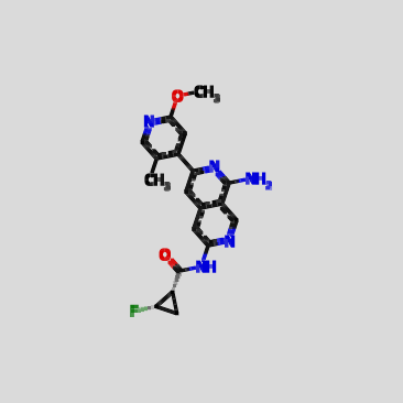 COc1cc(-c2cc3cc(NC(=O)[C@@H]4C[C@@H]4F)ncc3c(N)n2)c(C)cn1